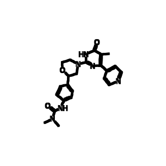 Cc1c(-c2ccncc2)nc(N2CCOC(c3ccc(NC(=O)N(C)C)cc3)C2)[nH]c1=O